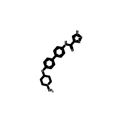 CN1CCC(Oc2ccc(-c3ccc(NC(=O)c4c[nH]nn4)cc3)cc2)CC1